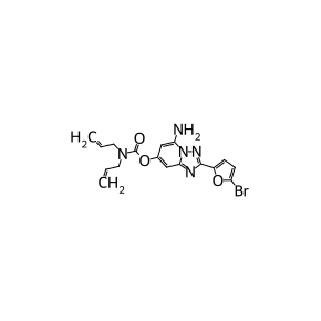 C=CCN(CC=C)C(=O)Oc1cc(N)n2nc(-c3ccc(Br)o3)nc2c1